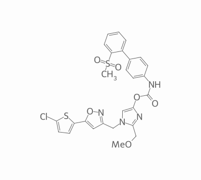 COCc1nc(OC(=O)Nc2ccc(-c3ccccc3S(C)(=O)=O)cc2)cn1Cc1cc(-c2ccc(Cl)s2)on1